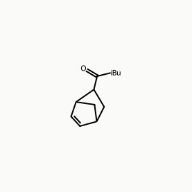 CCC(C)C(=O)C1CC2C=CC1C2